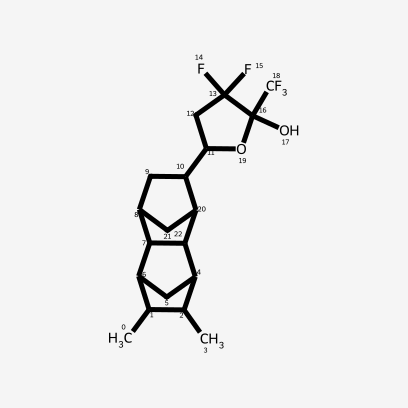 CC1C(C)C2CC1C1C3CC(C4CC(F)(F)C(O)(C(F)(F)F)O4)C(C3)C21